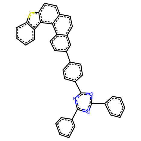 c1ccc(-c2nc(-c3ccccc3)nc(-c3ccc(-c4ccc5c(ccc6ccc7sc8ccccc8c7c65)c4)cc3)n2)cc1